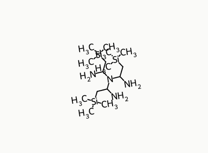 C[Si](C)(C)CC(N)N(C(N)C[Si](C)(C)C)C(N)C[Si](C)(C)C